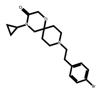 O=C1COC2(CCN(CCc3ccc(Br)cc3)CC2)CN1C1CC1